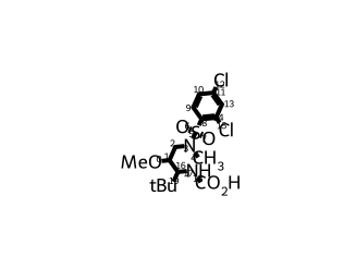 COC(CN(C)S(=O)(=O)c1ccc(Cl)cc1Cl)C(NC(=O)O)C(C)(C)C